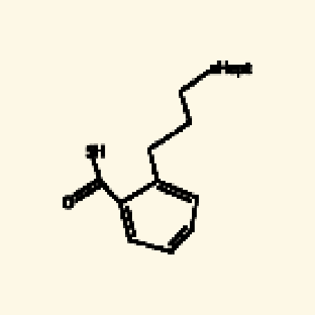 CCCCCCCCCCc1ccccc1C(=O)S